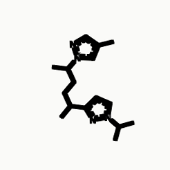 Cc1cnn(C(C)CCC(C)c2ccn(C(C)C)n2)c1